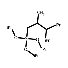 CC(C)O[Si](CC(C)C(C(C)C)C(C)C)(OC(C)C)OC(C)C